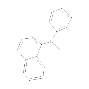 IN(c1ccccc1)c1cccc2ccccc12